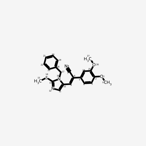 COc1ccc(/C(C#N)=C/c2cnc(SC)n2Cc2ccccc2)cc1OC